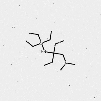 CCC(CC)(CN(C)C)N[Si](CC)(CC)CC